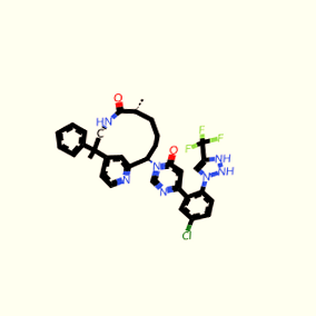 C[C@@H]1CCC[C@H](n2cnc(-c3cc(Cl)ccc3N3C=C(C(F)(F)F)NN3)cc2=O)c2cc(ccn2)C(C)(c2ccccc2)CNC1=O